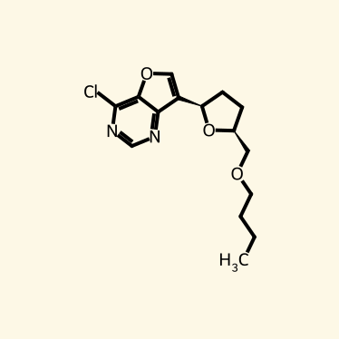 CCCCOC[C@@H]1CC[C@H](c2coc3c(Cl)ncnc23)O1